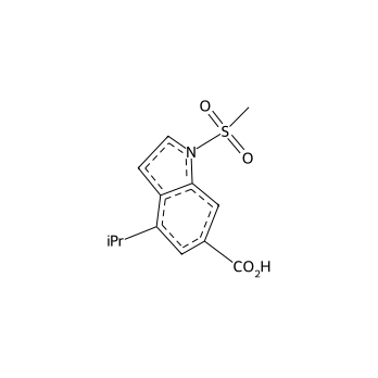 CC(C)c1cc(C(=O)O)cc2c1ccn2S(C)(=O)=O